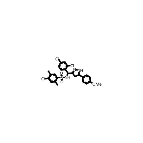 COc1ccc(C2CC(C(NS(=O)(=O)c3cc(C)c(Cl)cc3C)c3ccc(Cl)cc3Cl)=NN2)cc1